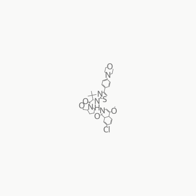 COC1=CN=C(O[C@@H]2CC(C=O)N(C(=O)[C@@H](Nc3nc(-c4ccc(N5CCOCC5)cc4)cs3)C(C)(C)C)C2)C2C=C(Cl)C=CC12